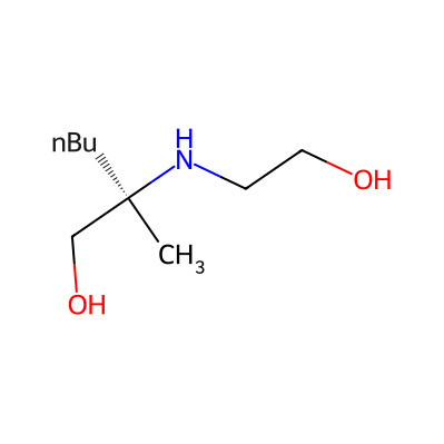 CCCC[C@](C)(CO)NCCO